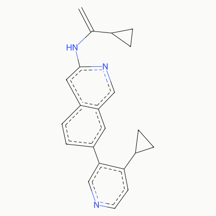 C=C(Nc1cc2ccc(-c3cnccc3C3CC3)cc2cn1)C1CC1